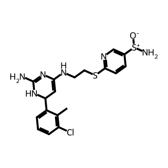 Cc1c(Cl)cccc1C1C=C(NCCSc2ccc([S+](N)[O-])cn2)N=C(N)N1